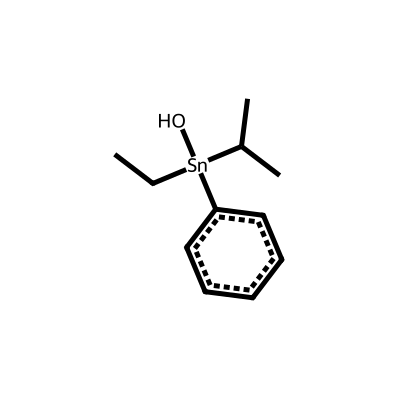 C[CH2][Sn]([OH])([c]1ccccc1)[CH](C)C